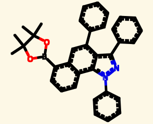 CC1(C)OB(c2cccc3c2cc(-c2ccccc2)c2c(-c4ccccc4)nn(-c4ccccc4)c23)OC1(C)C